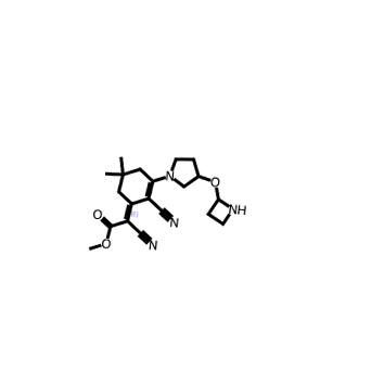 COC(=O)/C(C#N)=C1\CC(C)(C)CC(N2CCC(OC3CCN3)C2)=C1C#N